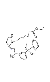 CCOC(=O)CCCCCCN1C(=O)CC[C@@H]1/C=C/C(O)c1cccc(C(OC)(OC)c2ccccc2)c1